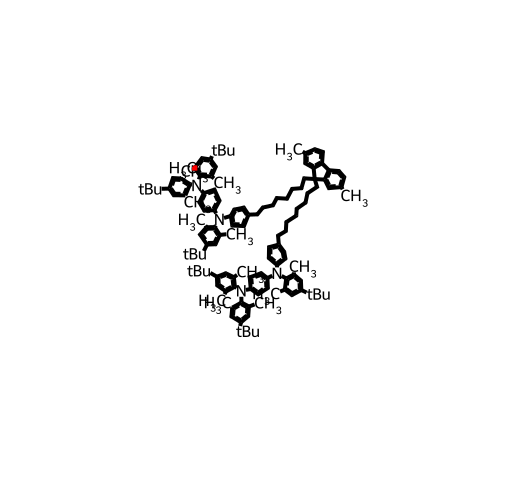 Cc1ccc2c(c1)C(CCCCCCCCc1ccc(N(c3ccc(N(c4c(C)cc(C(C)(C)C)cc4C)c4c(C)cc(C(C)(C)C)cc4C)cc3)c3c(C)cc(C(C)(C)C)cc3C)cc1)(CCCCCCCCc1ccc(N(c3ccc(N(c4c(C)cc(C(C)(C)C)cc4C)c4c(C)cc(C(C)(C)C)cc4C)cc3)c3c(C)cc(C(C)(C)C)cc3C)cc1)c1cc(C)ccc1-2